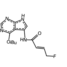 CC(C)COc1ncnc2[nH]cc(NC(=O)/C=C/CF)c12